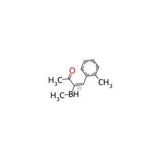 CB/C(=C/c1ccccc1C)C(C)=O